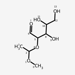 COC(C)OC(C=O)C(O)C(O)CO